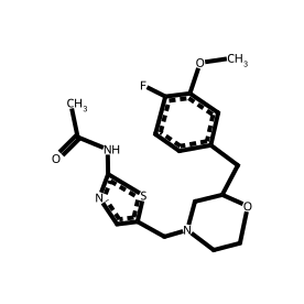 COc1cc(CC2CN(Cc3cnc(NC(C)=O)s3)CCO2)ccc1F